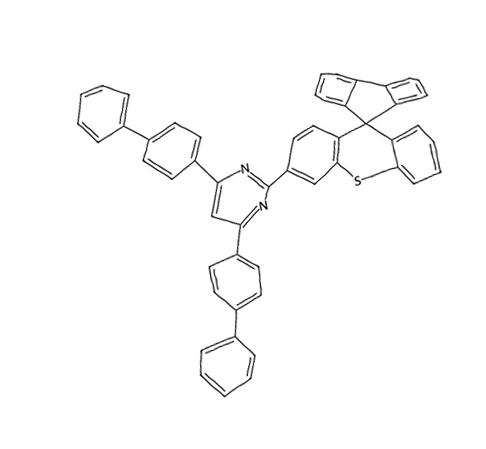 c1ccc(-c2ccc(-c3cc(-c4ccc(-c5ccccc5)cc4)nc(-c4ccc5c(c4)Sc4ccccc4C54c5ccccc5-c5ccccc54)n3)cc2)cc1